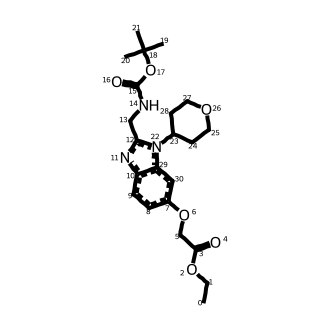 CCOC(=O)COc1ccc2nc(CNC(=O)OC(C)(C)C)n(C3CCOCC3)c2c1